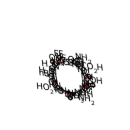 CCCC[C@H]1C(=O)N2CCOC[C@@H]2C(=O)N[C@@H](CC(=O)O)C(=O)N[C@@H](C(C)C)C(=O)N(C)[C@@H](Cc2ccccc2)C(=O)N[C@@H](CCN)C(=O)N2CCOC[C@@H]2C(=O)N[C@@H](Cc2c[nH]c3ccccc23)C(=O)N[C@@H](Cc2ccc(O)cc2)C(=O)N[C@@H](CCC(=O)O)C(=O)N[C@H](C(=O)NCC(N)=O)CSCC(=O)N[C@@H](Cc2cc(F)c(F)c(F)c2)C(=O)N(C)[C@@H](Cc2ccc(O)cc2)C(=O)N1C